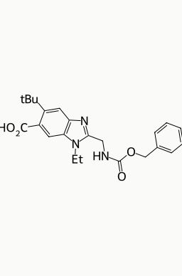 CCn1c(CNC(=O)OCc2ccccc2)nc2cc(C(C)(C)C)c(C(=O)O)cc21